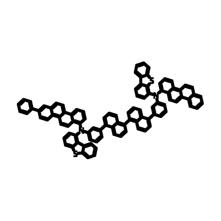 c1ccc(-c2ccc3c(ccc4c5cccc(N(c6cccc(-c7cccc8c(-c9cccc%10c(-c%11cccc(N(c%12cccc%13c%12ccc%12c%14ccccc%14ccc%13%12)c%12cccc%13c%12sc%12ccccc%12%13)c%11)cccc9%10)cccc78)c6)c6cccc7sc8ccccc8c67)c5ccc34)c2)cc1